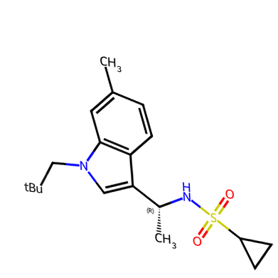 Cc1ccc2c([C@@H](C)NS(=O)(=O)C3CC3)cn(CC(C)(C)C)c2c1